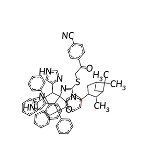 CC1C(CN2C(=O)C(C(c3c[nH]cn3)C(c3ccccc3)(c3ccccc3)c3ccccc3)(C(c3c[nH]cn3)C(c3ccccc3)(c3ccccc3)c3ccccc3)N=C2SCC(=O)c2ccc(C#N)cc2)CC2CC1C2(C)C